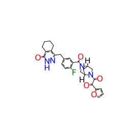 O=C(C(=O)N1C[C@@H]2C[C@H]1CN2C(=O)c1cc(Cc2n[nH]c(=O)c3c2CCCC3)ccc1F)c1ccco1